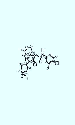 Cc1cc(NC(=O)CN2C(=O)C(c3ccc(C(F)(F)F)cc3)=NC23CCCCC3)ccc1Cl